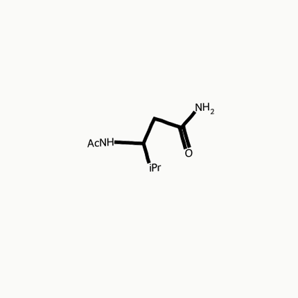 CC(=O)NC(CC(N)=O)C(C)C